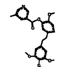 COc1ccc(CCc2cc(OC)c(OC)c(OC)c2)cc1OC(=O)c1cncc(C)c1